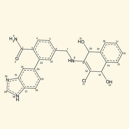 NC(=O)c1ccc(CNC2=C(Cl)C(O)c3ccccc3C2O)cc1-c1ccc2[nH]cnc2c1